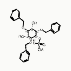 O=P(O)(O)O[C@@H]1[C@@H](OCc2ccccc2)[C@H](O)[C@@H](OCc2ccccc2)[C@H](O)[C@@H]1OCc1ccccc1